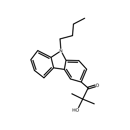 CCCCn1c2ccccc2c2cc(C(=O)C(C)(C)O)ccc21